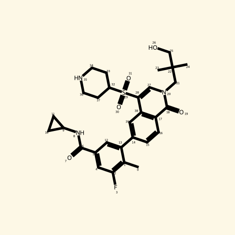 Cc1c(F)cc(C(=O)NC2CC2)cc1-c1ccc2c(=O)n(CC(C)(C)CO)cc(S(=O)(=O)C3CCNCC3)c2c1